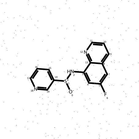 [O-][S+](Nc1cc(F)cc2cccnc12)c1cccnc1